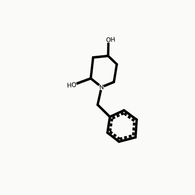 OC1CCN(Cc2ccccc2)C(O)C1